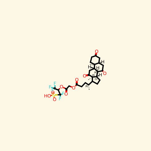 C[C@H](CCC(=O)OCC(=O)OC(C(F)(F)F)C(F)(F)S(=O)(=O)O)C1CC[C@H]2[C@@H]3C(=O)C[C@@H]4CC(=O)CC[C@]4(C)[C@H]3CC(=O)[C@]12C